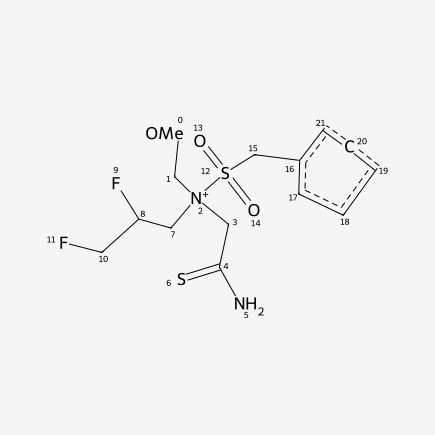 COC[N+](CC(N)=S)(CC(F)CF)S(=O)(=O)Cc1ccccc1